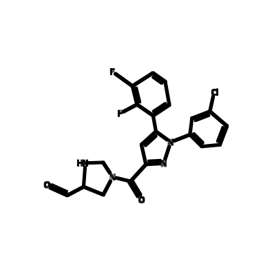 O=CC1CN(C(=O)c2cc(-c3cccc(F)c3F)n(-c3cccc(Cl)c3)n2)CN1